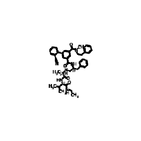 CCNC(=O)[C@@H](NC(=O)[C@H](C)NC[C@H](Cc1ccccc1)NC(=O)c1cc(C(=O)N(C)CCc2ccccc2)cc(-c2ccccc2C#N)c1)C(C)C